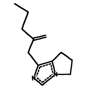 C=C(CCC)Cc1ncn2c1CCC2